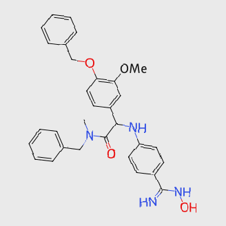 COc1cc(C(Nc2ccc(C(=N)NO)cc2)C(=O)N(C)Cc2ccccc2)ccc1OCc1ccccc1